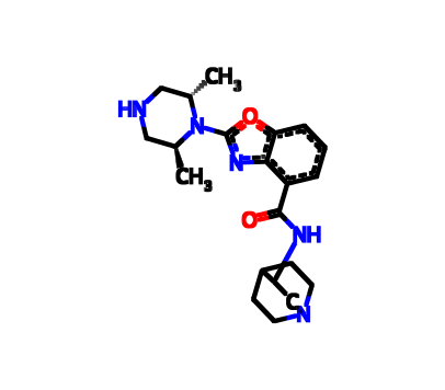 C[C@H]1CNC[C@H](C)N1c1nc2c(C(=O)NC3CN4CCC3CC4)cccc2o1